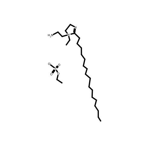 CCCCCCCCCCCCCCCCCC1=NCC[N+]1(CC)CCN.CCOS(=O)(=O)[O-]